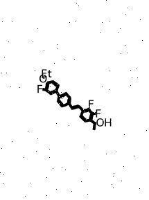 CCOc1ccc(-c2ccc(/C=C/c3ccc(C(C)O)c(F)c3F)cc2)cc1F